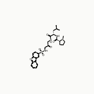 CC(C)C[C@H](NC(=O)[C@@H]1CCCN1C)C(=O)NCC(=O)CNS(=O)(=O)c1ccc2oc3ccccc3c2c1